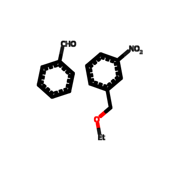 CCOCc1cccc([N+](=O)[O-])c1.O=Cc1ccccc1